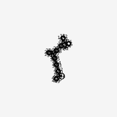 CC1(C)c2ccccc2N(c2ccccc2)c2ccc(-c3ccc(N(c4ccccc4)c4ccc(-c5ccc(-c6ccc(C(=O)c7ccccc7)cc6)cc5)cc4)cc3)cc21